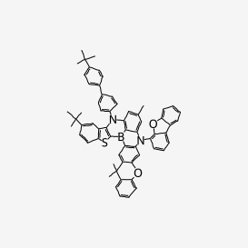 Cc1cc2c3c(c1)N(c1cccc4c1oc1ccccc14)c1cc4c(cc1B3c1sc3ccc(C(C)(C)C)cc3c1N2c1ccc(-c2ccc(C(C)(C)C)cc2)cc1)C(C)(C)c1ccccc1O4